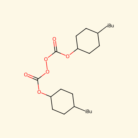 CCC(C)C1CCC(OC(=O)OOC(=O)OC2CCC(C(C)CC)CC2)CC1